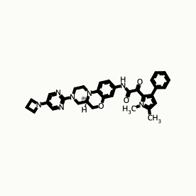 Cc1cc(-c2ccccc2)c(C(=O)C(=O)Nc2ccc3c(c2)OC[C@H]2CN(c4ncc(N5CCC5)cn4)CCN32)n1C